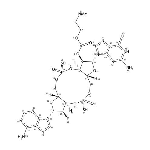 CNCCOC(=O)O[C@@H]1[C@@H]2O[P@](=O)(S)OC[C@H]3O[C@@H](n4cnc5c(N)ncnc54)[C@H](F)[C@@H]3O[P@@](=O)(S)OC[C@H]2O[C@H]1n1cnc2c(=O)[nH]c(N)nc21